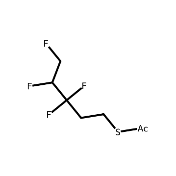 CC(=O)SCCC(F)(F)C(F)CF